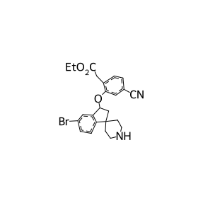 CCOC(=O)Cc1ccc(C#N)cc1OC1CC2(CCNCC2)c2ccc(Br)cc21